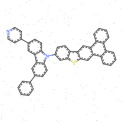 c1ccc(-c2ccc3c(c2)c2cc(-c4ccncc4)ccc2n3-c2ccc3c(c2)sc2cc4c5ccccc5c5ccccc5c4cc23)cc1